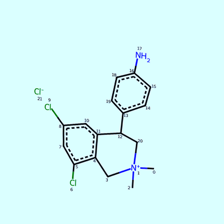 C[N+]1(C)Cc2c(Cl)cc(Cl)cc2C(c2ccc(N)cc2)C1.[Cl-]